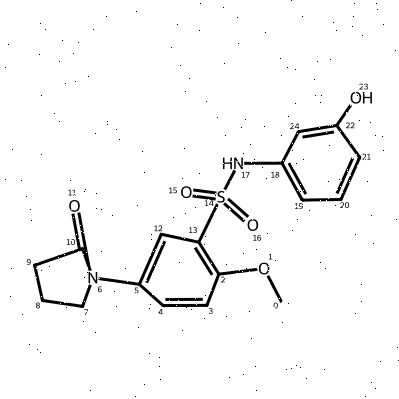 COc1ccc(N2CCCC2=O)cc1S(=O)(=O)Nc1cccc(O)c1